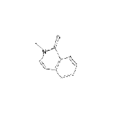 Cn1ccc2[c]cccc2c1=O